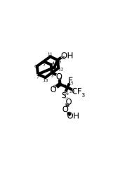 O=C(OC12CC3CC(CC(O)(C3)C1)C2)C(F)(SOOO)C(F)(F)F